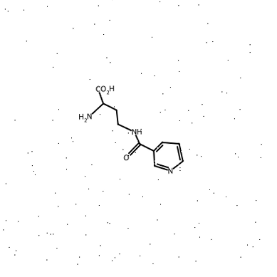 NC(CCNC(=O)c1cccnc1)C(=O)O